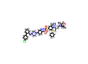 O=C(NS(=O)(=O)c1ccc(N[C@H](CCN2C[C@H]3C[C@@H]2CO3)CSc2ccccc2)c([N+](=O)[O-])c1)c1ccc(N2CCN(Cc3ccccc3-c3ccc(Cl)cc3)CC2)cc1